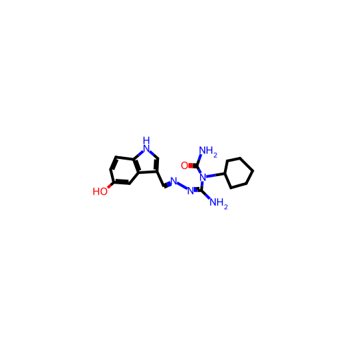 NC(=O)N(C(N)=NN=Cc1c[nH]c2ccc(O)cc12)C1CCCCC1